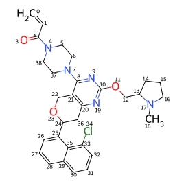 C=CC(=O)N1CCN(c2nc(OCC3CCCN3C)nc3c2COC(c2cccc4cccc(Cl)c24)C3)CC1